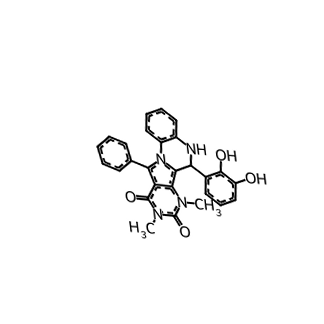 Cn1c(=O)c2c(-c3ccccc3)n3c(c2n(C)c1=O)C(c1cccc(O)c1O)Nc1ccccc1-3